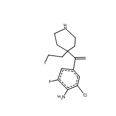 C=C(c1cc(F)c(N)c(Cl)c1)C1(CCI)CCNCC1